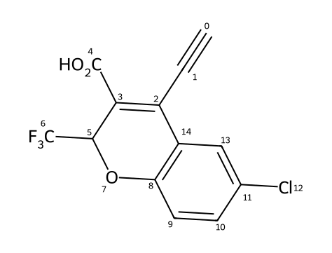 C#CC1=C(C(=O)O)C(C(F)(F)F)Oc2ccc(Cl)cc21